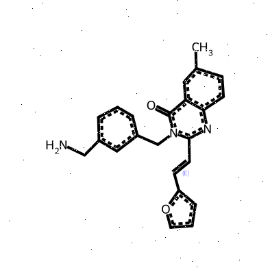 Cc1ccc2nc(/C=C/c3ccco3)n(Cc3cccc(CN)c3)c(=O)c2c1